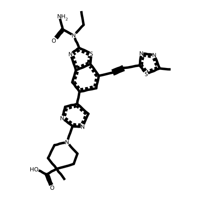 CCN(C(N)=O)c1nc2cc(-c3cnc(N4CCC(C)(C(=O)O)CC4)nc3)cc(C#Cc3nnc(C)s3)c2s1